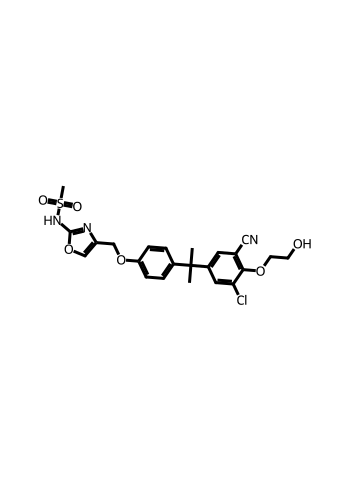 CC(C)(c1ccc(OCc2coc(NS(C)(=O)=O)n2)cc1)c1cc(Cl)c(OCCO)c(C#N)c1